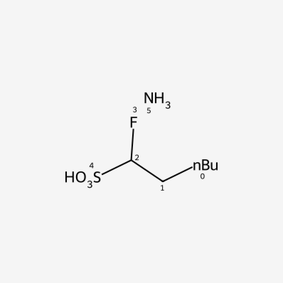 CCCCCC(F)S(=O)(=O)O.N